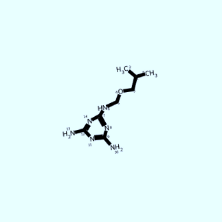 CC(C)COCNc1nc(N)nc(N)n1